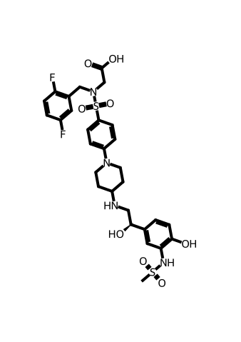 CS(=O)(=O)Nc1cc([C@@H](O)CNC2CCN(c3ccc(S(=O)(=O)N(CC(=O)O)Cc4cc(F)ccc4F)cc3)CC2)ccc1O